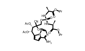 COC(C#N)(COP(=O)(N[C@@H](C)C(=O)OC(C)C)N[C@@H](C)C(=O)OC(C)C)[C@@H](OC(C)=O)[C@@H](OC(C)=O)c1ccc2c(N)ncnn12